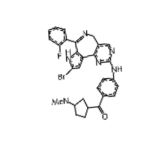 CNC1CCC(C(=O)c2ccc(Nc3ncc4c(n3)-c3cc(Br)[nH]c3C(c3ccccc3F)=NC4)cc2)C1